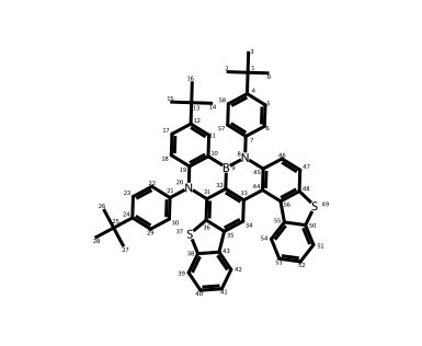 CC(C)(C)c1ccc(N2B3c4cc(C(C)(C)C)ccc4N(c4ccc(C(C)(C)C)cc4)c4c3c(cc3c4sc4ccccc43)-c3c2ccc2sc4ccccc4c32)cc1